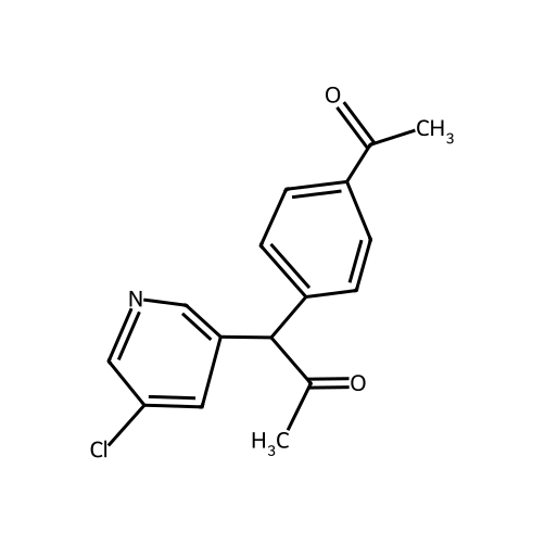 CC(=O)c1ccc(C(C(C)=O)c2cncc(Cl)c2)cc1